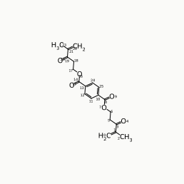 C=C(C)C(=O)CCOC(=O)c1ccc(C(=O)OCCC(=O)C(=C)C)cc1